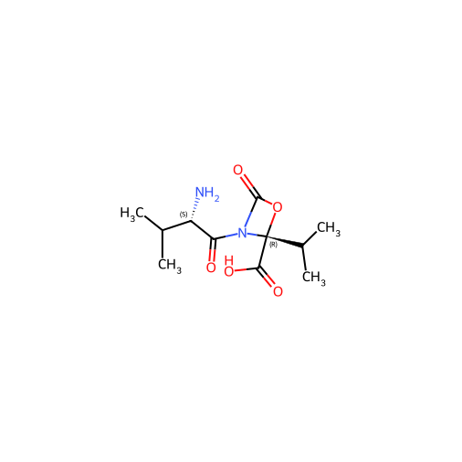 CC(C)[C@H](N)C(=O)N1C(=O)O[C@@]1(C(=O)O)C(C)C